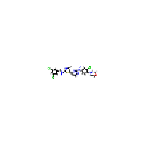 Cc1nc(NCc2cc(Cl)cc(Cl)c2)sc1-c1ccnc(Nc2ccc(N3CCOCC3)c(Cl)c2)n1